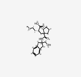 COCC[C@@H](CC1(C(=O)NC2(CO)Cc3ccccc3C2)CCCC1)C(=O)O